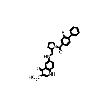 O=C(O)c1c[nH]c2ccc(NCC3CCCN3C(=O)c3ccc(-c4ccccc4)c(F)c3)cc2c1=O